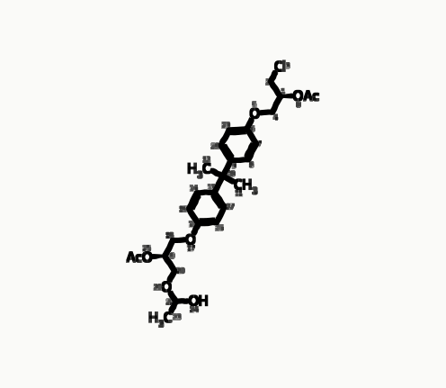 CC(=O)O[C@H](CCl)COc1ccc(C(C)(C)c2ccc(OC[C@@H](COC(C)O)OC(C)=O)cc2)cc1